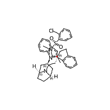 Cc1cc2ccccc2n1[C@H]1C[C@H]2CC[C@@H](C1)N2CC[C@]1(CN(C)S(=O)(=O)c2ccccc2Cl)CCc2ccccc21